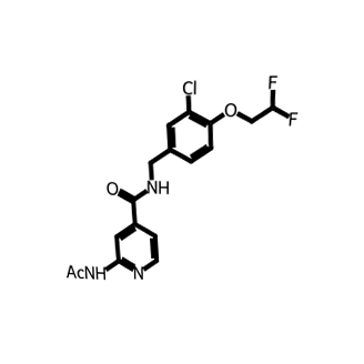 CC(=O)Nc1cc(C(=O)NCc2ccc(OCC(F)F)c(Cl)c2)ccn1